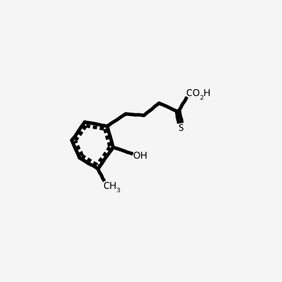 Cc1cccc(CCCC(=S)C(=O)O)c1O